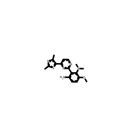 COc1ccc(N)c(-c2nccc(-c3sc(C)nc3C)n2)c1N(C)C